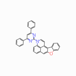 C1=CN(c2nc(-c3ccccc3)cc(-c3ccccc3)n2)c2cccc3cc4oc5ccccc5c4c1c23